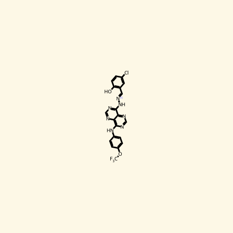 Oc1ccc(Cl)cc1/C=N/Nc1ncnc2c(Nc3ccc(OC(F)(F)F)cc3)ncnc12